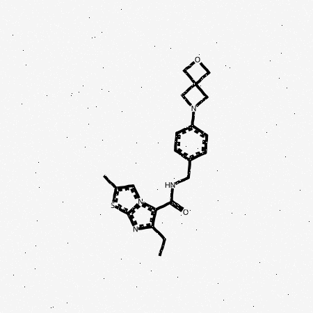 CCc1nc2sc(C)cn2c1C(=O)NCc1ccc(N2CC3(COC3)C2)cc1